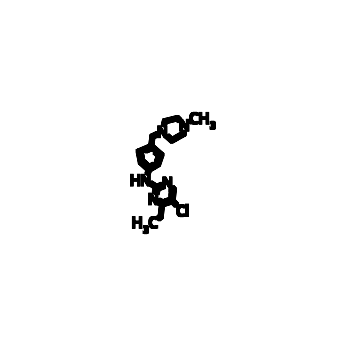 CCc1nc(Nc2ccc(CN3CCN(C)CC3)cc2)ncc1Cl